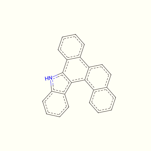 c1ccc2c(c1)ccc1c3ccccc3c3[nH]c4ccccc4c3c21